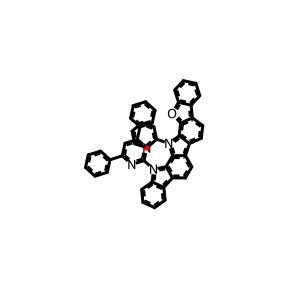 c1ccc(-c2cc(-c3ccccc3)nc(-n3c4ccccc4c4ccc5c6ccc7c8ccccc8oc7c6n(-c6ccccc6)c5c43)n2)cc1